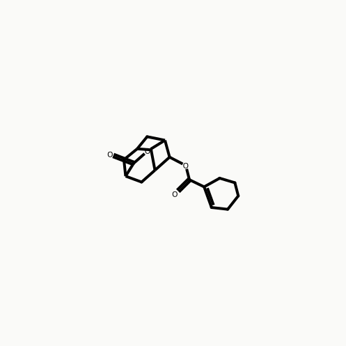 O=C(OC1C2CC3CC(C2)C(=O)OC1C3)C1=CCCCC1